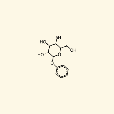 OC[C@H]1OC(Oc2ccccc2)[C@H](O)[C@@H](O)[C@H]1S